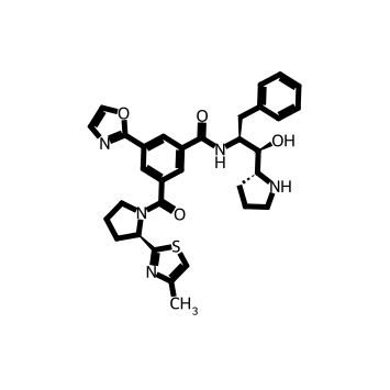 Cc1csc([C@H]2CCCN2C(=O)c2cc(C(=O)N[C@@H](Cc3ccccc3)[C@@H](O)[C@H]3CCCN3)cc(-c3ncco3)c2)n1